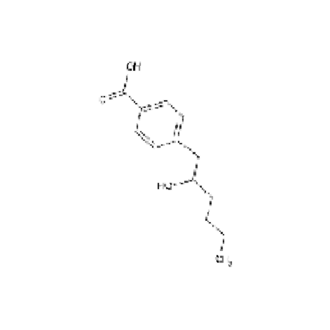 CCCCC(O)Cc1ccc(C(=O)O)cc1